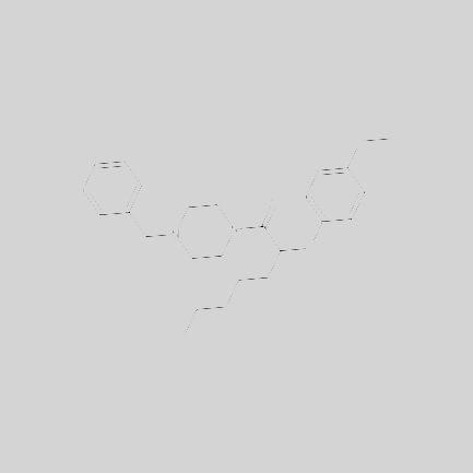 CCCCCC(Oc1ccc(OC)cc1)C(=O)N1CCN(Cc2ccccc2)CC1